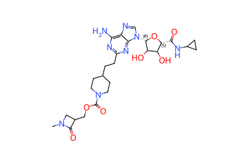 CN1CC(COC(=O)N2CCC(CCc3nc(N)c4ncn([C@@H]5O[C@H](C(=O)NC6CC6)C(O)C5O)c4n3)CC2)C1=O